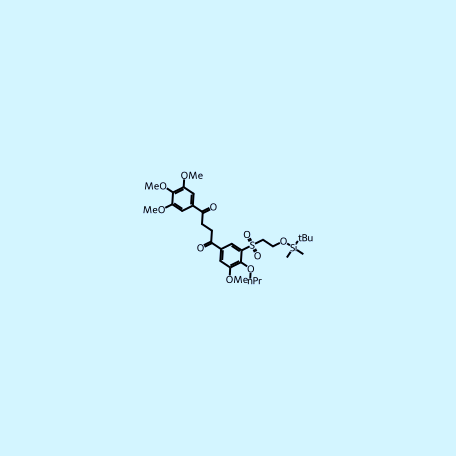 CCCOc1c(OC)cc(C(=O)CCC(=O)c2cc(OC)c(OC)c(OC)c2)cc1S(=O)(=O)CCO[Si](C)(C)C(C)(C)C